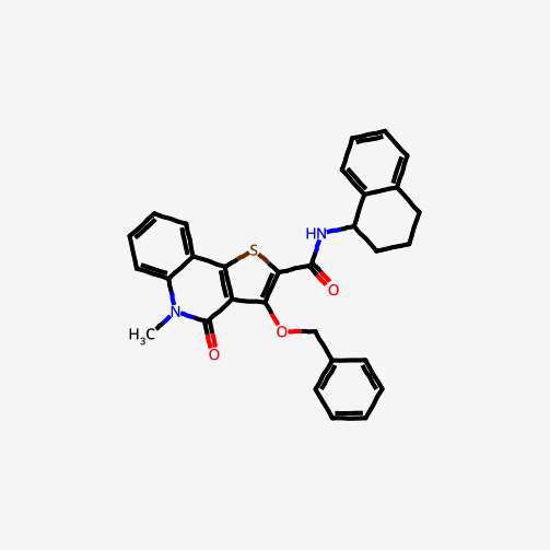 Cn1c(=O)c2c(OCc3ccccc3)c(C(=O)NC3CCCc4ccccc43)sc2c2ccccc21